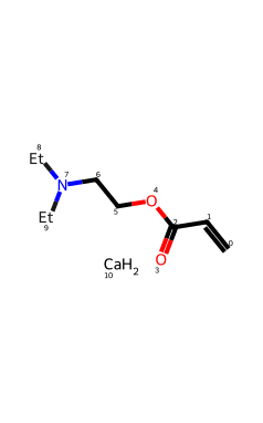 C=CC(=O)OCCN(CC)CC.[CaH2]